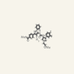 CNC(=O)c1ccc(-c2nn(-c3ccccc3)c(NC(=O)N[C@@H]3CN(CCOC)O[C@H]3c3ccc(F)c(F)c3)c2C)cn1